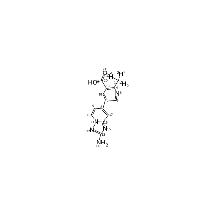 [2H]C([2H])([2H])c1ncc(-c2ccn3nc(N)nc3c2)cc1C(=O)O